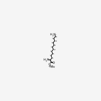 CCCCOC(=O)C(N)CCCCCCCCCCCN